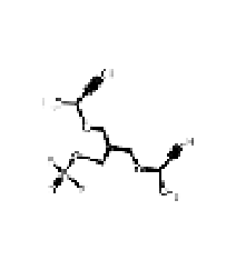 C#CC(C)OCC(COC(C)C#C)COP(=O)(F)F